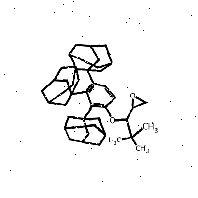 CC(C)(C)C(Oc1ccc(C23CC4CC(CC(C4)C2)C3)c(C23CC4CC(CC(C4)C2)C3)c1C12CC3CC(CC(C3)C1)C2)C1CO1